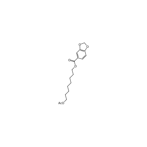 CC(=O)OCCCCCCCCOC(=O)c1ccc2c(c1)OCO2